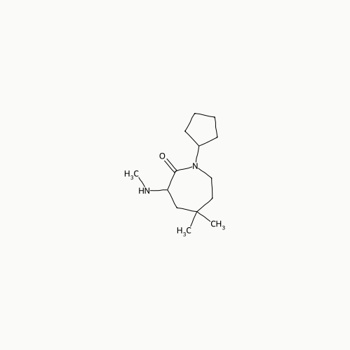 CNC1CC(C)(C)CCN(C2CCCC2)C1=O